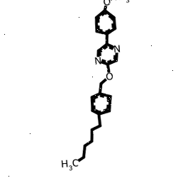 CCCCCCc1ccc(COc2cnc(-c3ccc(OC)cc3)cn2)cc1